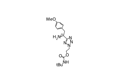 COc1ccc(C[C@H](N)c2nnn(CCOC(=O)NC(C)(C)C)n2)cc1